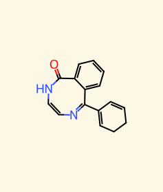 O=C1NC=CN=C(C2=CCCC=C2)c2ccccc21